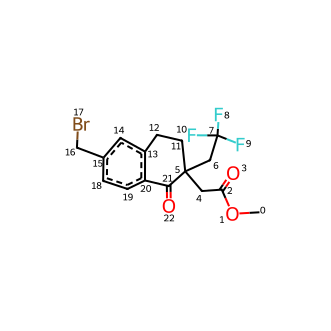 COC(=O)CC1(CC(F)(F)F)CCc2cc(CBr)ccc2C1=O